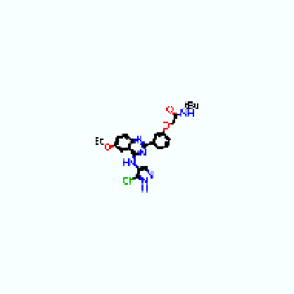 CCOc1ccc2nc(-c3cccc(OCC(=O)NC(C)(C)C)c3)nc(Nc3cn[nH]c3Cl)c2c1